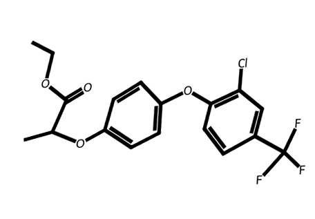 CCOC(=O)C(C)Oc1ccc(Oc2ccc(C(F)(F)F)cc2Cl)cc1